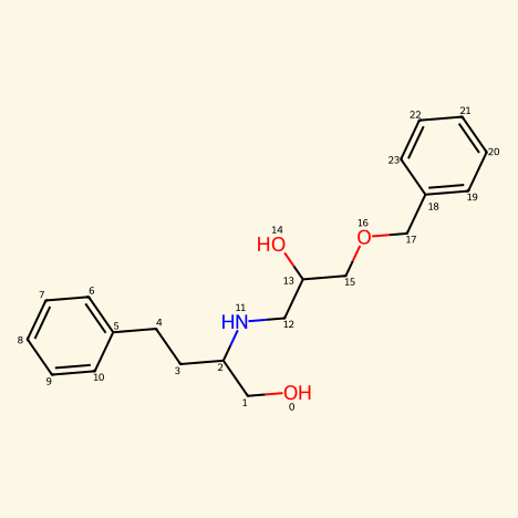 OCC(CCc1ccccc1)NCC(O)COCc1ccccc1